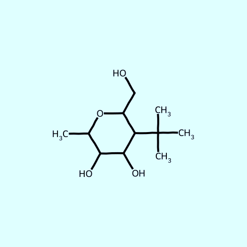 CC1OC(CO)C(C(C)(C)C)C(O)C1O